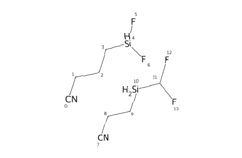 N#CCCC[SiH](F)F.N#CCC[SiH2]C(F)F